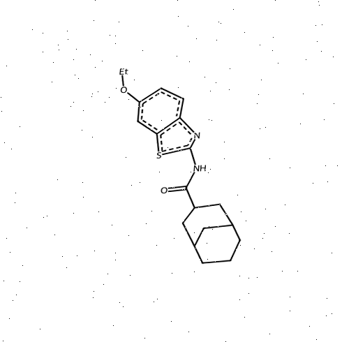 CCOc1ccc2nc(NC(=O)C3CC4CCCC(C4)C3)sc2c1